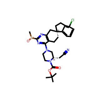 C[S+]([O-])c1nc2c(c(N3CCN(C(=O)OC(C)(C)C)[C@@H](CC#N)C3)n1)CC[C@@]1(CCc3c(Cl)cccc31)C2